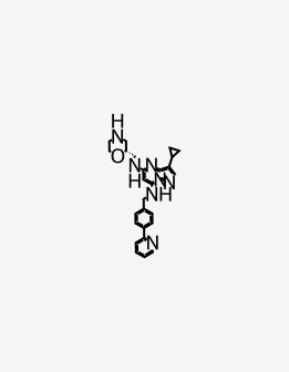 c1ccc(-c2ccc(CNc3cc(NC[C@H]4CNCCO4)nc4c(C5CC5)cnn34)cc2)nc1